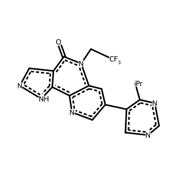 CC(C)c1ncncc1-c1cnc2c3[nH]ncc3c(=O)n(CC(F)(F)F)c2c1